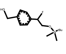 CC(C)(C)[Si](C)(C)OCC(F)c1ccc(CO)cc1